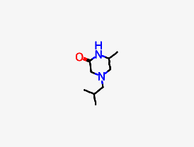 CC(C)CN1CC(=O)NC(C)C1